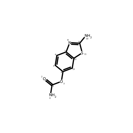 NC(=O)Oc1ccc2nc(N)sc2c1